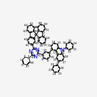 C1=CCC(c2nc(-c3cccc(-c4cccc5c4c4cc(-c6ccccc6)ccc4n5-c4ccccc4)c3)nc(-c3ccc4c(c3)C3(c5ccccc5-c5ccccc53)c3ccccc3-4)n2)C=C1